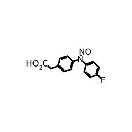 O=NN(c1ccc(F)cc1)c1ccc(CC(=O)O)cc1